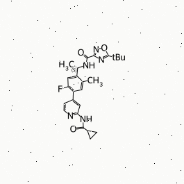 Cc1cc(-c2ccnc(NC(=O)C3CC3)c2)c(F)cc1[C@H](C)NC(=O)c1noc(C(C)(C)C)n1